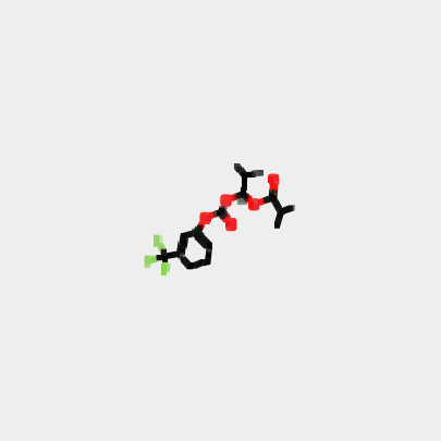 CC(C)C(=O)O[C@@H](OC(=O)OC1=CCCC(C(F)(F)F)=C1)C(C)C